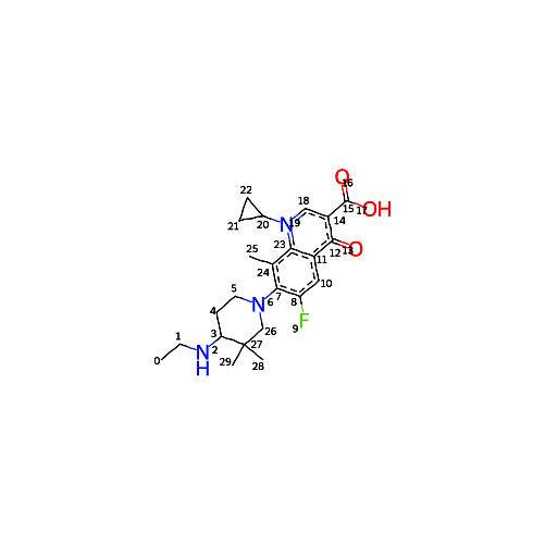 CCNC1CCN(c2c(F)cc3c(=O)c(C(=O)O)cn(C4CC4)c3c2C)CC1(C)C